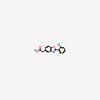 COC(=O)Cc1ccc2oc(-c3c(F)cccc3Cl)nc2c1